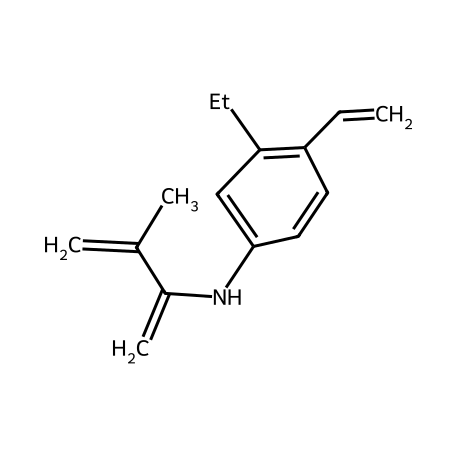 C=Cc1ccc(NC(=C)C(=C)C)cc1CC